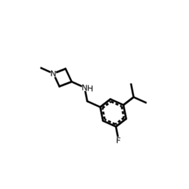 CC(C)c1cc(F)cc(CNC2CN(C)C2)c1